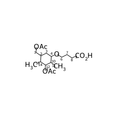 CC(=O)OCC1CC(OCCCC(=O)O)C(C)C(OC(C)=O)C1C